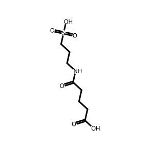 O=C(O)CCCC(=O)NCCCS(=O)(=O)O